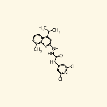 Cc1cccc2c(C(C)C)cc(NNC(=O)Nc3cc(Cl)nc(Cl)c3)nc12